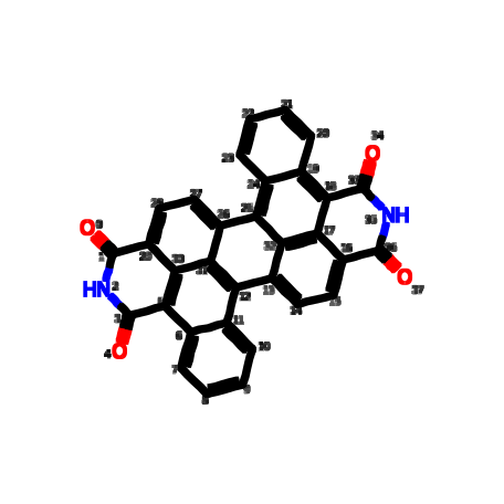 O=C1NC(=O)c2c3ccccc3c3c4ccc5c6c(c7ccccc7c(c7ccc1c2c73)c64)C(=O)NC5=O